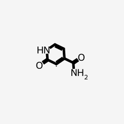 NC(=O)c1[c]c(=O)[nH]cc1